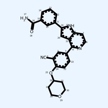 N#Cc1cc(-c2nccc3[nH]c(-c4cccc(C(N)=O)c4)cc23)ccc1OC1CCOCC1